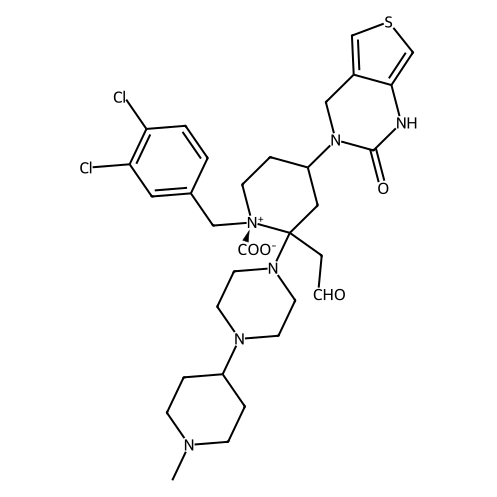 CN1CCC(N2CCN(C3(CC=O)CC(N4Cc5cscc5NC4=O)CC[N@+]3(Cc3ccc(Cl)c(Cl)c3)C(=O)[O-])CC2)CC1